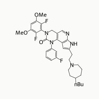 CCCCC1CCCN(CCc2cc3c4c(cnc3[nH]2)CN(c2c(F)c(OC)cc(OC)c2F)C(=O)N4c2cccc(F)c2)CC1